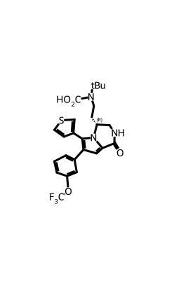 CC(C)(C)N(CC[C@@H]1CNC(=O)c2cc(-c3cccc(OC(F)(F)F)c3)c(-c3ccsc3)n21)C(=O)O